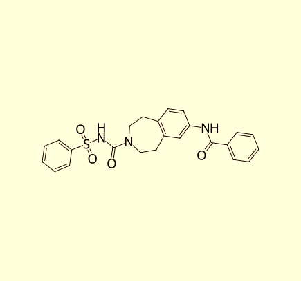 O=C(Nc1ccc2c(c1)CCN(C(=O)NS(=O)(=O)c1ccccc1)CC2)c1ccccc1